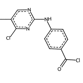 Cc1cnc(Nc2ccc(C(=O)Cl)cc2)nc1Cl